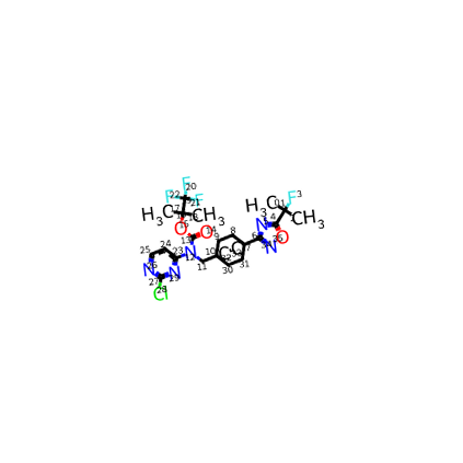 CC(C)(F)c1nc(C23CCC(CN(C(=O)OC(C)(C)C(F)(F)F)c4ccnc(Cl)n4)(CC2)CC3)no1